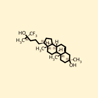 C[C@]1(O)CC[C@@]2(C)C(=CC[C@H]3[C@@H]4CC[C@H](CCC[C@@](C)(O)C(F)(F)F)[C@@]4(C)CC[C@@H]32)C1